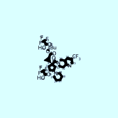 CC(C)(C)OC(=O)C1CC1[C@]1(C(=O)N2CCc3ncc(C(F)(F)F)cc3C2)CC[C@@H](N2CCCCC2)C1.O=C(O)C(F)(F)F.O=C(O)C(F)(F)F